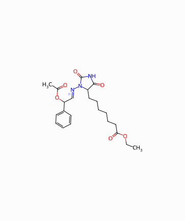 CCOC(=O)CCCCCCC1C(=O)NC(=O)N1/N=C/C(OC(C)=O)c1ccccc1